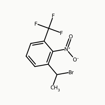 CC(Br)c1cccc(C(F)(F)F)c1[N+](=O)[O-]